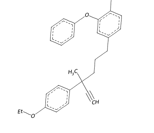 C#CC(C)(CCCc1ccc(F)c(Oc2ccccc2)c1)c1ccc(OCC)cc1